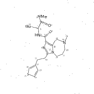 CNC(=O)C(NC(=O)c1nc(CCc2ccsc2)n2c1CN(C)CCC2)C(C)(C)C